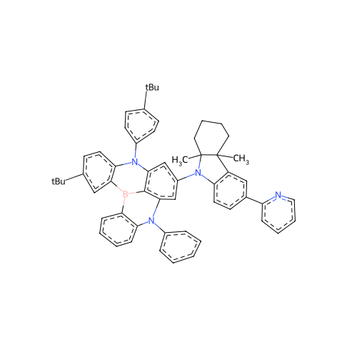 CC(C)(C)c1ccc(N2c3ccc(C(C)(C)C)cc3B3c4ccccc4N(c4ccccc4)c4cc(N5c6ccc(-c7ccccn7)cc6C6(C)CCCCC56C)cc2c43)cc1